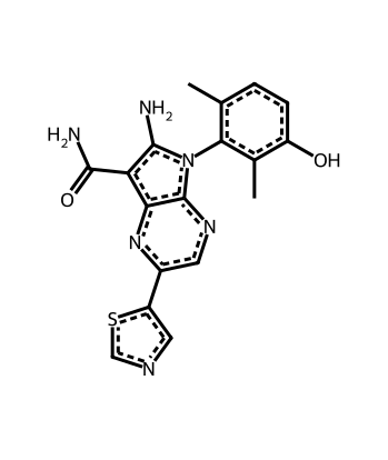 Cc1ccc(O)c(C)c1-n1c(N)c(C(N)=O)c2nc(-c3cncs3)cnc21